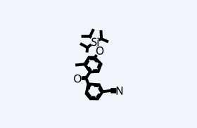 Cc1cc(O[Si](C(C)C)(C(C)C)C(C)C)ccc1C(=O)c1cccc(C#N)c1